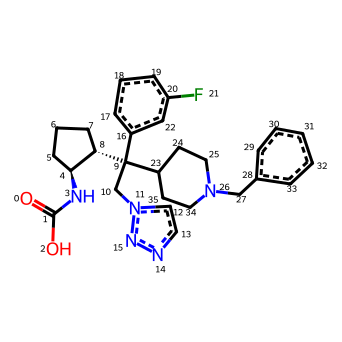 O=C(O)N[C@H]1CCC[C@@H]1C(Cn1ccnn1)(c1cccc(F)c1)C1CCN(Cc2ccccc2)CC1